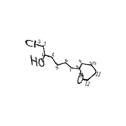 OC(CCl)CCCCC1CCCCO1